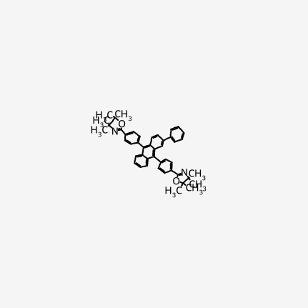 CC1(C)N=C(c2ccc(-c3c4ccccc4c(-c4ccc(C5=NC(C)(C)C(C)(C)O5)cc4)c4cc(-c5ccccc5)ccc34)cc2)OC1(C)C